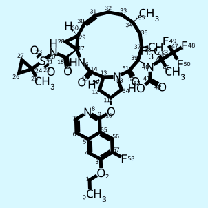 CCOc1cc2ccnc(O[C@@H]3C[C@H]4C(=O)N[C@]5(C(=O)NS(=O)(=O)C6(C)CC6)C[C@H]5/C=C\CC[C@H](C)C[C@@H](C)[C@H](N(C(=O)O)C(C)(C)C(F)(F)F)C(=O)N4C3)c2cc1F